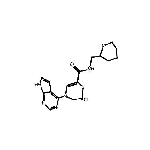 Cl.O=C(NC[C@@H]1CCCCN1)C1=CN(c2ncnc3[nH]ccc23)CCS1